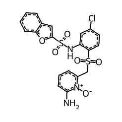 Nc1cccc(CS(=O)(=O)c2ccc(Cl)cc2NS(=O)(=O)c2cc3ccccc3o2)[n+]1[O-]